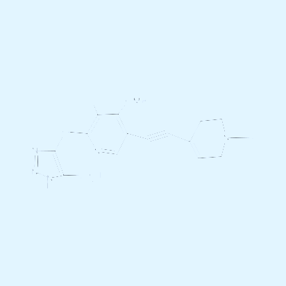 COc1c(C#CC2=CCN(I)CC2)cnc(Oc2nn[nH]c2C(=O)O)c1F